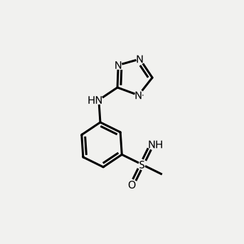 CS(=N)(=O)c1cccc(NC2=NN=C[N]2)c1